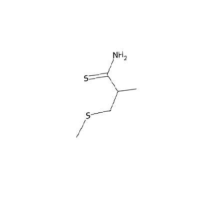 CSCC(C)C(N)=S